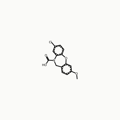 COc1ccc2c(c1)Oc1ccc(Cl)cc1N(C(=O)O)C2